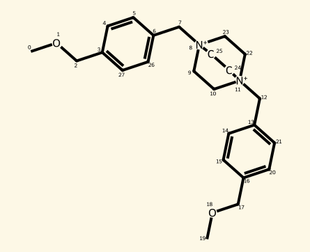 COCc1ccc(C[N+]23CC[N+](Cc4ccc(COC)cc4)(CC2)CC3)cc1